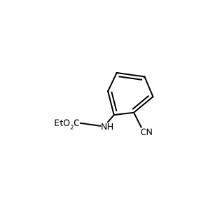 C[CH]OC(=O)Nc1ccccc1C#N